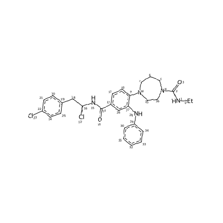 CCNC(=O)N1CCCN(c2ccc(C(=O)NC(Cl)Cc3ccc(Cl)cc3)cc2Nc2ccccc2)CC1